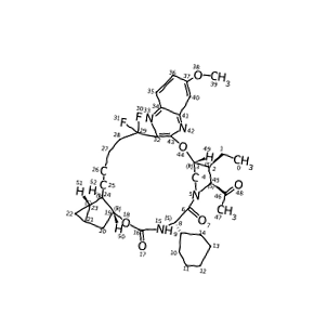 CC[C@@H]1[C@@H]2CN(C(=O)[C@H](C3CCCCC3)NC(=O)O[C@@H]3CC4C[C@@H]4[C@H]3CCCCC(F)(F)c3nc4ccc(OC)cc4nc3O2)[C@@H]1C(C)=O